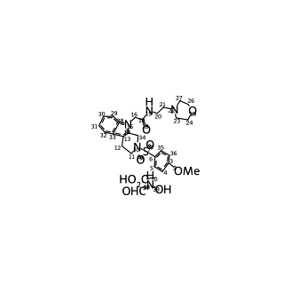 CC(=O)O.COc1ccc(S(=O)(=O)N2CCc3c(n(CC(=O)NCCN4CCOCC4)c4ccccc34)C2)cc1.O=CNO